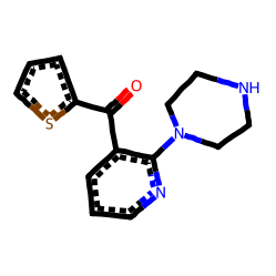 O=C(c1cccs1)c1cccnc1N1CCNCC1